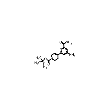 CC(C)(C)OC(=O)N1CC=C(c2cc(N)cc(C(N)=O)n2)CC1